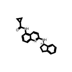 O=C(Nc1cccc2nc(N[C@@H]3CCc4ccccc43)ccc12)C1CC1